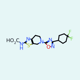 O=C(O)Nc1nc2c(s1)CN(c1nc(C3CCC(F)(F)CC3)no1)CC2